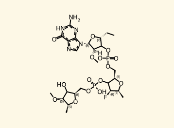 CC[C@H]1O[C@@H](n2cnc3c(=O)[nH]c(N)nc32)[C@@H](OC)C1OP(=O)(O)OC[C@H]1O[C@@H](C)[C@@H](F)C1OP(=O)(O)OC[C@H]1O[C@@H](C)[C@@H](OC)C1O